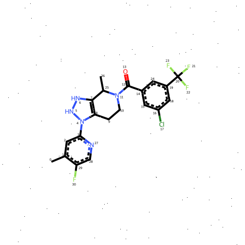 Cc1cc(N2NNC3=C2CCN(C(=O)c2cc(Cl)cc(C(F)(F)F)c2)C3C)ncc1F